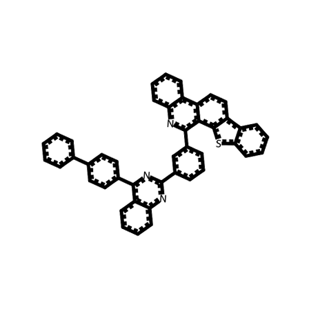 c1ccc(-c2ccc(-c3nc(-c4cccc(-c5nc6ccccc6c6ccc7c8ccccc8sc7c56)c4)nc4ccccc34)cc2)cc1